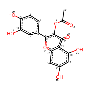 CC(=O)Oc1c(-c2ccc(O)c(O)c2)oc2cc(O)cc(O)c2c1=O